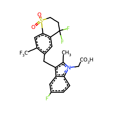 Cc1c(Cc2cc3c(cc2C(F)(F)F)S(=O)(=O)CCC3(F)F)c2cc(F)ccc2n1CC(=O)O